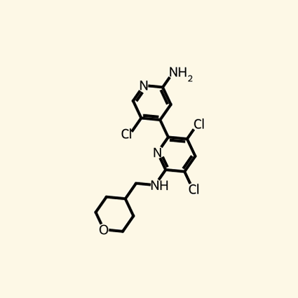 Nc1cc(-c2nc(NCC3CCOCC3)c(Cl)cc2Cl)c(Cl)cn1